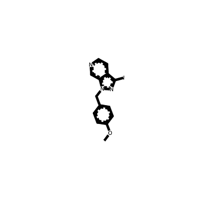 COc1ccc(Cn2nc(I)c3ccncc32)cc1